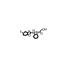 O=C(CO)Nc1ccccc1Nc1nc2cc(F)ccc2o1